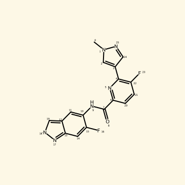 Cn1cc(-c2nc(C(=O)Nc3cc4c(cc3F)=N[N]C=4)ccc2F)cn1